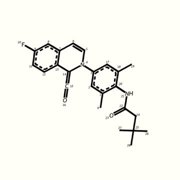 Cc1cc(N2C=Cc3cc(F)ccc3C2=C=O)cc(C)c1NC(=O)CC(C)(C)C